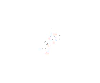 CNC(O)c1cc(-c2cccc(CN3O[C@@H](CNCC(C)C)[C@@H]([C@H](C)O)[C@H]3C(=O)NC[C@@H](C)[C@@H]3C[C@H](C)C3(C)C)c2OC)cc(N(C)C)c1